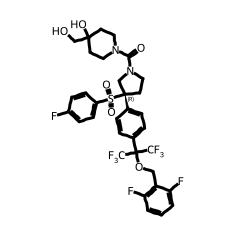 O=C(N1CCC(O)(CO)CC1)N1CC[C@](c2ccc(C(OCc3c(F)cccc3F)(C(F)(F)F)C(F)(F)F)cc2)(S(=O)(=O)c2ccc(F)cc2)C1